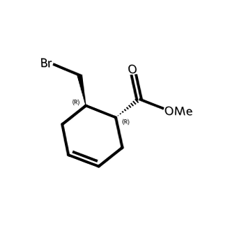 COC(=O)[C@@H]1CC=CC[C@H]1CBr